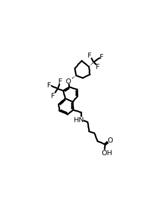 O=C(O)CCCCNCc1cccc2c(C(F)(F)F)c(O[C@H]3CC[C@@H](C(F)(F)F)CC3)ccc12